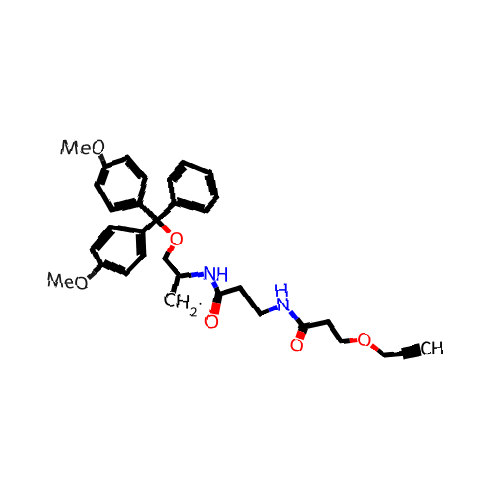 C#CCOCCC(=O)NCCC(=O)NC([CH2])COC(c1ccccc1)(c1ccc(OC)cc1)c1ccc(OC)cc1